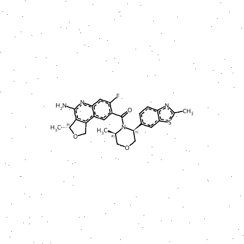 Cc1nc2ccc([C@H]3COC[C@@H](C)N3C(=O)c3cc4c5c(c(N)nc4cc3F)[C@@H](C)OC5)cc2s1